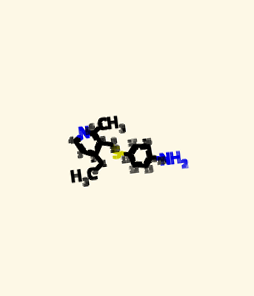 CCc1ccnc(C)c1CSc1ccc(N)cc1